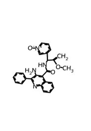 C=C(OC)C(NC(=O)c1c(N)c(-c2ccccc2)nc2ccccc12)c1ccc[n+]([O-])c1